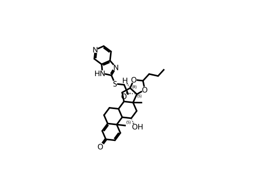 CCCC1O[C@@H]2CC3C4CCC5=CC(=O)C=CC5(C)C4[C@@H](O)CC3(C)[C@]2(C(=O)CSc2nc3ccncc3[nH]2)O1